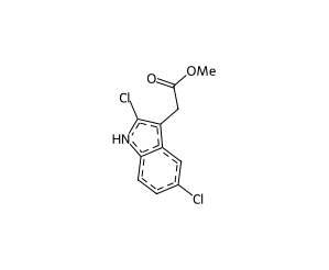 COC(=O)Cc1c(Cl)[nH]c2ccc(Cl)cc12